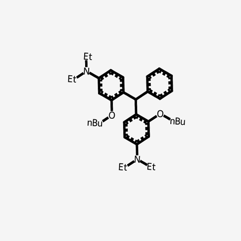 CCCCOc1cc(N(CC)CC)ccc1C(c1ccccc1)c1ccc(N(CC)CC)cc1OCCCC